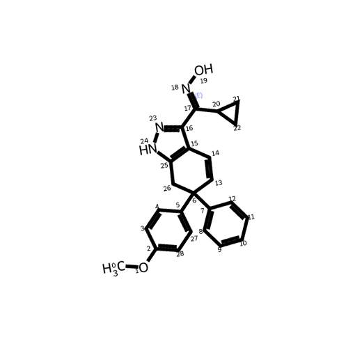 COc1ccc(C2(c3ccccc3)C=Cc3c(/C(=N/O)C4CC4)n[nH]c3C2)cc1